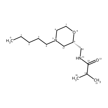 CCCCCN1CCO[C@H](CNC(=O)C(C)C)C1